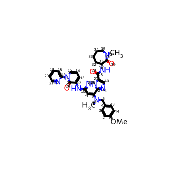 COc1ccc(CN(C)c2cc(Nc3cccn(-c4ccccn4)c3=O)nn3c(C(=O)N[C@@H]4CCCCN(C)C4=O)cnc23)cc1